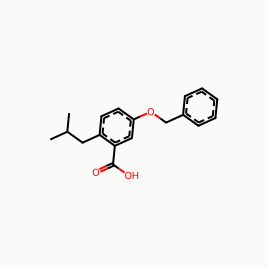 CC(C)Cc1ccc(OCc2ccccc2)cc1C(=O)O